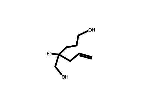 C=CCC(CC)(CO)CCCO